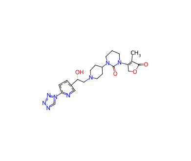 CC1=C(N2CCCN(C3CCN(C[C@@H](O)c4ccc(-n5cnnn5)nc4)CC3)C2=O)COC1=O